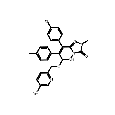 Cn1nc2n(c1=O)NC(OCc1ccc(C(F)(F)F)cn1)C(c1ccc(Cl)cc1)=C2c1ccc(Cl)cc1